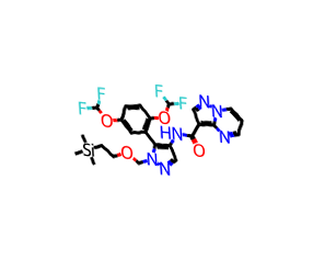 C[Si](C)(C)CCOCn1ncc(NC(=O)c2cnn3cccnc23)c1-c1cc(OC(F)F)ccc1OC(F)F